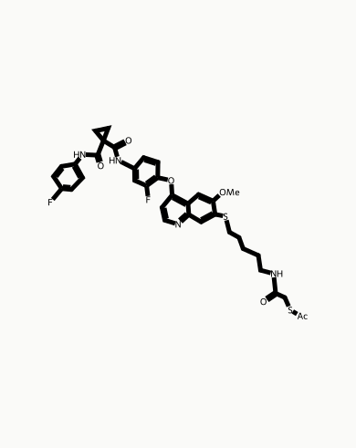 COc1cc2c(Oc3ccc(NC(=O)C4(C(=O)Nc5ccc(F)cc5)CC4)cc3F)ccnc2cc1SCCCCCNC(=O)CSC(C)=O